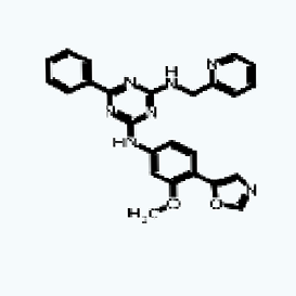 COc1cc(Nc2nc(NCc3ccccn3)nc(-c3ccccc3)n2)ccc1-c1cnco1